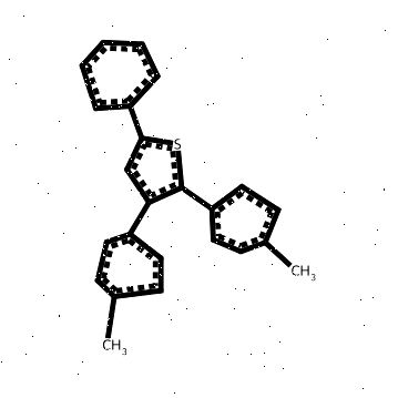 Cc1ccc(-c2cc(-c3ccccc3)sc2-c2ccc(C)cc2)cc1